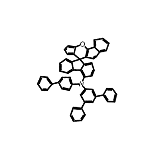 c1ccc(-c2ccc(N(c3cc(-c4ccccc4)cc(-c4ccccc4)c3)c3cccc4c3-c3ccccc3C43c4ccccc4Oc4c3ccc3ccccc43)cc2)cc1